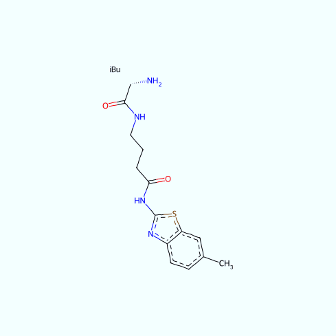 CC[C@H](C)[C@H](N)C(=O)NCCCC(=O)Nc1nc2ccc(C)cc2s1